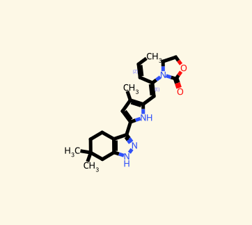 C/C=C\C(=C/c1[nH]c(-c2n[nH]c3c2CCC(C)(C)C3)cc1C)N1CCOC1=O